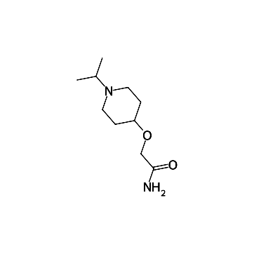 CC(C)N1CCC(OCC(N)=O)CC1